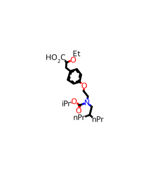 CCCC(CCC)CN(CCOc1ccc(CC(OCC)C(=O)O)cc1)C(=O)OC(C)C